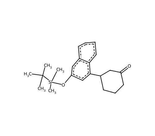 CC(C)(C)[Si](C)(C)Oc1cc(C2CCCC(=O)C2)c2ccccc2c1